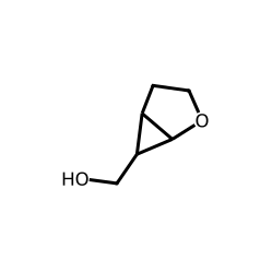 OCC1C2CCOC12